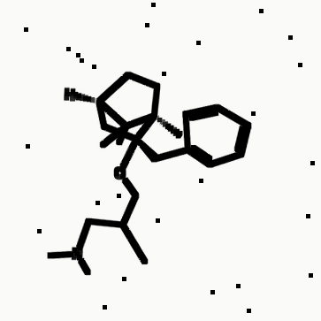 CC(CO[C@]1(Cc2ccccc2)C[C@H]2CC[C@]1(C)C2(C)C)CN(C)C